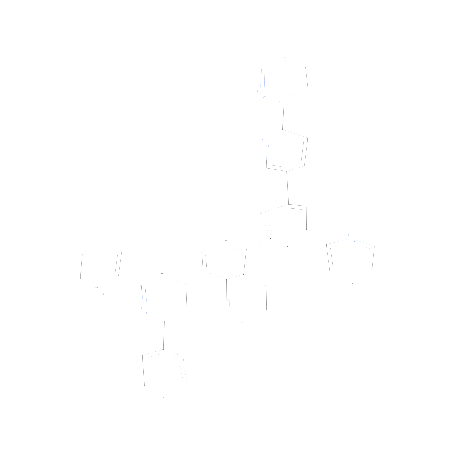 c1ccc(-c2cc(-c3ccc(-c4ccccn4)nc3)cc(-c3ccc(-c4cc(-c5ccccn5)nc(-c5ccccn5)c4)c4ccccc34)c2)nc1